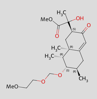 COCCOCO[C@H]1[C@H](C)CC2=CC(=O)[C@H](C(C)(O)C(=O)OC)C[C@]2(C)[C@H]1C